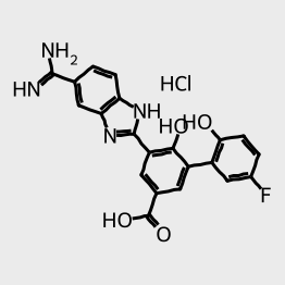 Cl.N=C(N)c1ccc2[nH]c(-c3cc(C(=O)O)cc(-c4cc(F)ccc4O)c3O)nc2c1